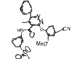 COc1cc(C#N)ccc1Oc1nnc(-c2ccccc2)c(C)c1C(=O)Nc1cccc(S(C)(=O)=O)c1